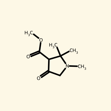 COC(=O)C1C(=O)CN(C)C1(C)C